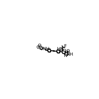 CC(CF)NCC(Cc1nc[nH]c(=O)c1O)c1ccc(C#Cc2ccc(CNC3CCS(=O)(=O)C3)cc2)cc1